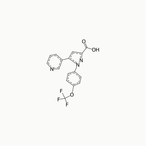 O=C(O)c1cc(-c2cccnc2)n(-c2ccc(OC(F)(F)F)cc2)n1